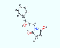 CC1=CC(=O)N(CC2OC2c2ccccc2)C1=O